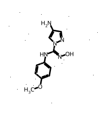 COc1ccc(NC(=NO)n2cc(N)cn2)cc1